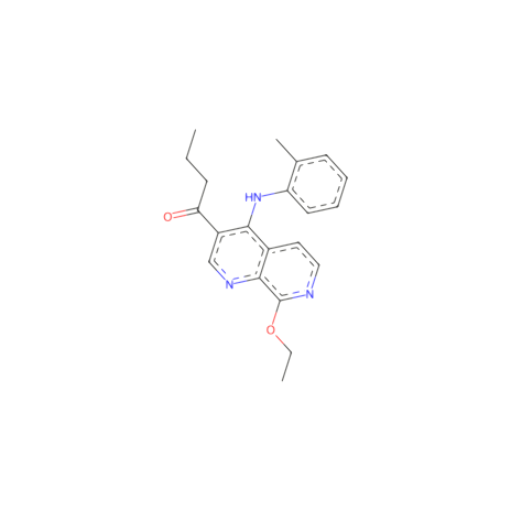 CCCC(=O)c1cnc2c(OCC)nccc2c1Nc1ccccc1C